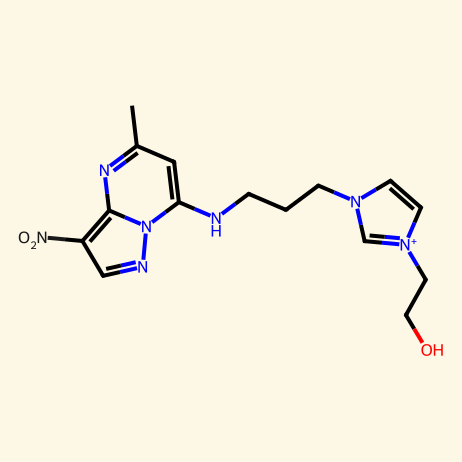 Cc1cc(NCCCn2cc[n+](CCO)c2)n2ncc([N+](=O)[O-])c2n1